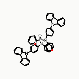 O=P(c1ccccn1)(N(c1ccccc1)c1ccc(-n2c3ccccc3c3ccccc32)cc1)N(c1ccccc1)c1ccc(-n2c3ccccc3c3ccccc32)cc1